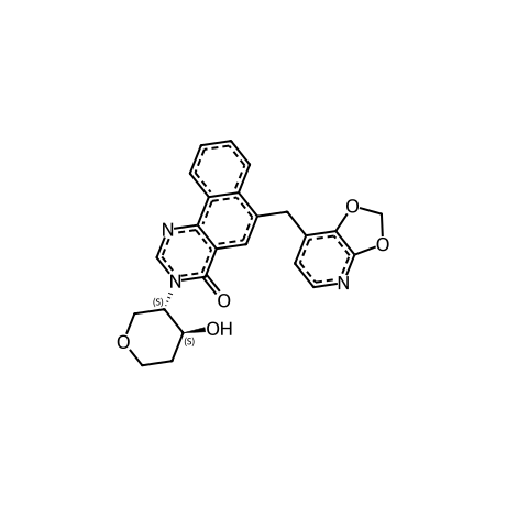 O=c1c2cc(Cc3ccnc4c3OCO4)c3ccccc3c2ncn1[C@H]1COCC[C@@H]1O